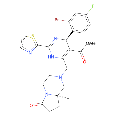 COC(=O)C1=C(CN2CCN3C(=O)CC[C@@H]3C2)NC(c2nccs2)=N[C@H]1c1ccc(F)cc1Br